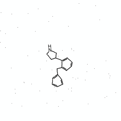 c1ccc(Cc2ccccc2C2CCNC2)cc1